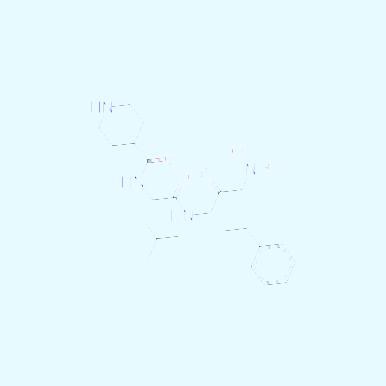 CC(C)C[C@H](NC(=O)C1CCNCC1)C(=O)N[C@@H](CCc1ccccc1)C(=O)C[N+](=O)[O-]